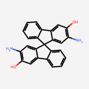 Nc1cc2c(cc1O)-c1ccccc1C21c2ccccc2-c2cc(O)c(N)cc21